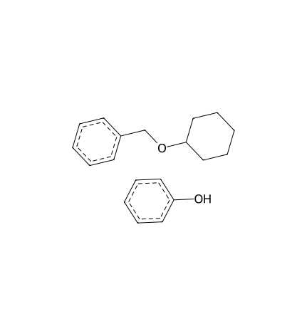 Oc1ccccc1.c1ccc(COC2CCCCC2)cc1